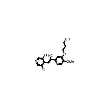 COc1cnc(C(C#N)=Cc2c(Cl)cncc2Cl)cc1OCCCO